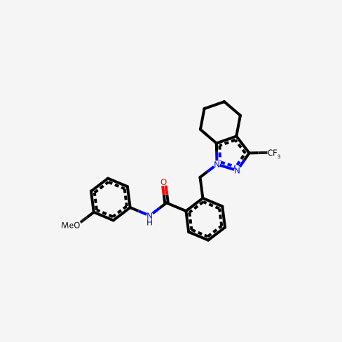 COc1cccc(NC(=O)c2ccccc2Cn2nc(C(F)(F)F)c3c2CCCC3)c1